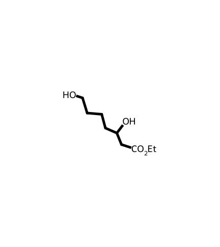 CCOC(=O)CC(O)CCCCO